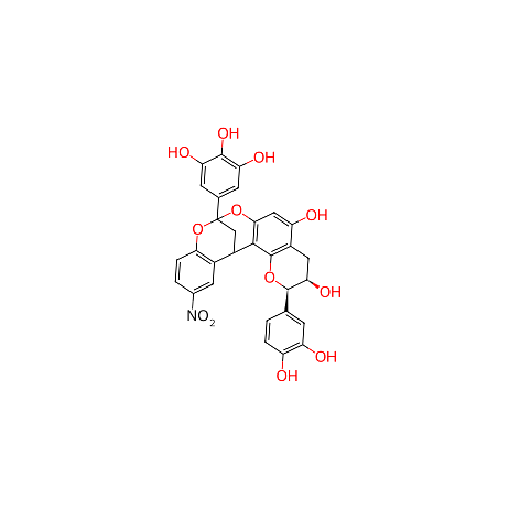 O=[N+]([O-])c1ccc2c(c1)C1CC(c3cc(O)c(O)c(O)c3)(O2)Oc2cc(O)c3c(c21)O[C@H](c1ccc(O)c(O)c1)[C@H](O)C3